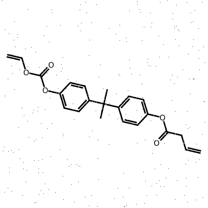 C=CCC(=O)Oc1ccc(C(C)(C)c2ccc(OC(=O)OC=C)cc2)cc1